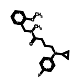 COc1ccccc1CN(C)C(=O)CCCN(c1ccc(F)cc1)C1CC1